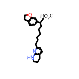 O=C(O)CC(CCCCCCc1ccc2c(n1)NCCC2)c1ccc2c(c1)OCC2